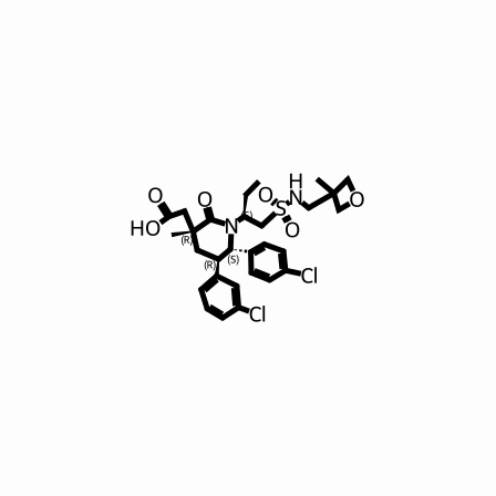 CC[C@@H](CS(=O)(=O)NCC1(C)COC1)N1C(=O)[C@@](C)(CC(=O)O)C[C@H](c2cccc(Cl)c2)[C@H]1c1ccc(Cl)cc1